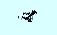 COc1cc(S(C)(=O)=O)ccc1NCC#Cc1cc(NC2CCN(C)C[C@@H]2C)c2ccn(CC(F)(F)F)c2c1